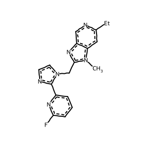 CCc1cc2c(cn1)nc(Cn1ccnc1-c1cccc(F)n1)n2C